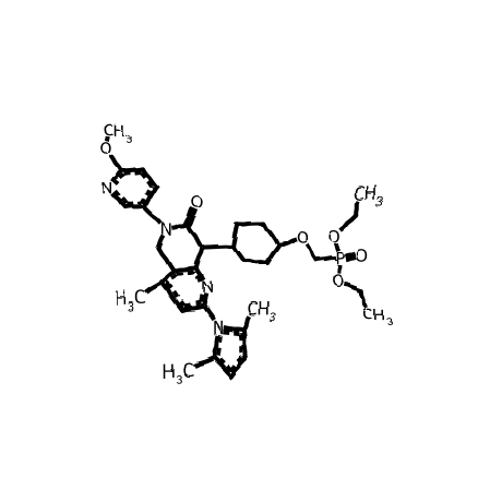 CCOP(=O)(COC1CCC(C2C(=O)N(c3ccc(OC)nc3)Cc3c(C)cc(-n4c(C)ccc4C)nc32)CC1)OCC